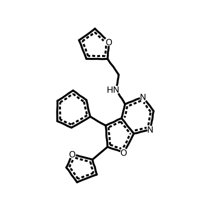 c1ccc(-c2c(-c3ccco3)oc3ncnc(NCc4ccco4)c23)cc1